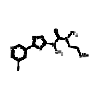 CSCCN(C)C(=O)N(C)c1cnc(-c2cncc(F)c2)s1